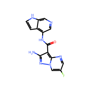 Nc1nn2cc(F)cnc2c1C(=O)Nc1cncc2[nH]ccc12